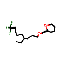 CCC(CCCOCC1CCCO1)CCCC(F)(F)F